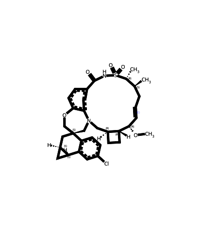 CO[C@H]1/C=C/C[C@H](C)[C@@H](C)S(=O)(=O)NC(=O)c2ccc3c(c2)N(C[C@@H]2CC[C@H]21)C[C@]1(CO3)C[C@@H]2C[C@@H]2c2cc(Cl)ccc21